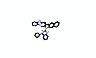 c1ccc(-c2nc(-n3c4cc5ccccc5cc4c4cc5nc6ccccc6n5cc43)nc3ccccc23)cc1